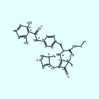 CCOC(=O)[C@H](Cc1ccc(NC(=O)c2c(Cl)cncc2Cl)cc1)NC1=C(Sc2nnnn2C)C(=O)C1(C)C